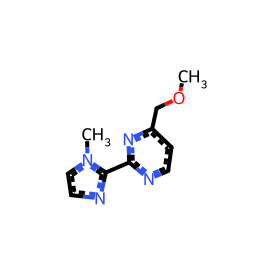 COCc1ccnc(-c2nccn2C)n1